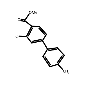 COC(=O)c1ccc(-c2ccc(C)cc2)cc1Cl